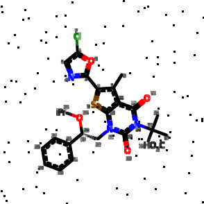 Cc1c(-c2ncc(Cl)o2)sc2c1c(=O)n(C(C)(C)C(=O)O)c(=O)n2C[C@@H](OC(C)C)c1ccccc1